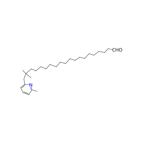 Cc1cccc(CC(C)(C)CCCCCCCCCCCCCCCCCC=O)n1